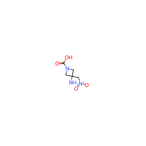 NC1(C[N+](=O)[O-])CN(C(=O)O)C1